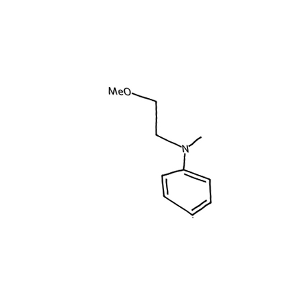 COCCN(C)c1cc[c]cc1